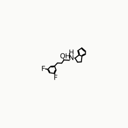 O[C@H](CCc1cc(F)cc(F)c1)CN[C@H]1CCc2ccccc21